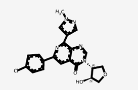 Cn1cc(-c2nc(-c3ccc(Cl)cc3)cc3c(=O)n([C@@H]4COC[C@H]4O)cnc23)cn1